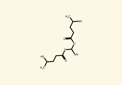 CCCC(OC(=O)CCC(C)S)OC(=O)CCC(C)S